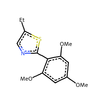 [CH2]Cc1cnc(-c2c(OC)cc(OC)cc2OC)s1